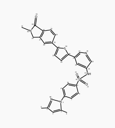 Cc1cc(C)n(-c2ccc(S(=O)(=O)Nc3cncc(-c4ccc(-c5ccc6c(c5)CN(C)C6=O)s4)c3)cc2)n1